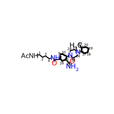 CC(=O)NCCCCNC(=O)c1ccc(N2CCN(c3ccccc3C)CC2)c(C(N)=O)c1